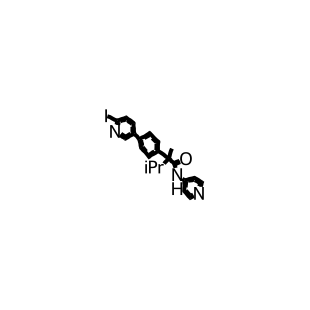 CC(C)C(C)(C(=O)Nc1ccncc1)c1ccc(-c2ccc(I)nc2)cc1